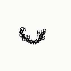 Cc1cc(O[C@H]2C(C)(C)[C@H](NC(=O)c3ccc(N4CCC(CN5CCN(c6ccc7c(c6)C(=O)N(c6ccc(=O)[nH]c6)C7=O)CC5)CC4)cc3)C2(C)C)ccc1C#N